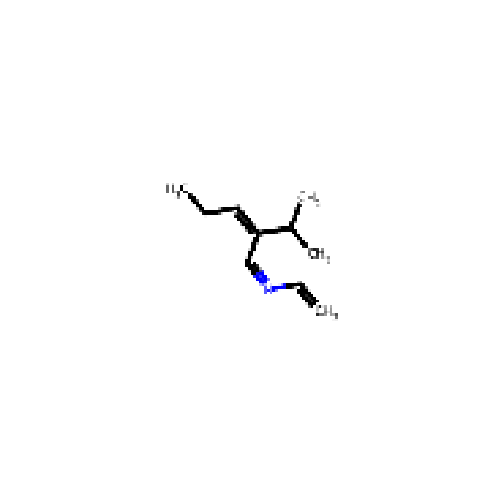 C=C/N=C\C(=C/CC)C(C)C